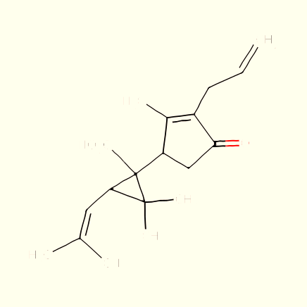 C=CCC1=C(C)C(C2(C(=O)O)C(C=C(C)C)C2(C)C)CC1=O